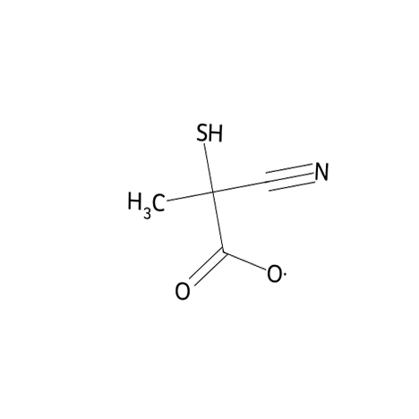 CC(S)(C#N)C([O])=O